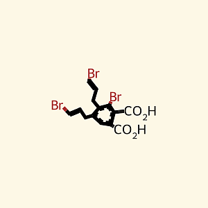 O=C(O)c1cc(CC=CBr)c(CC=CBr)c(Br)c1C(=O)O